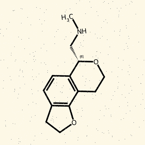 CNC[C@@H]1OCCc2c1ccc1c2OCC1